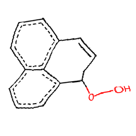 OOC1C=Cc2cccc3cccc1c23